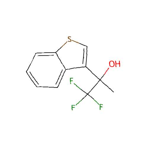 CC(O)(c1csc2ccccc12)C(F)(F)F